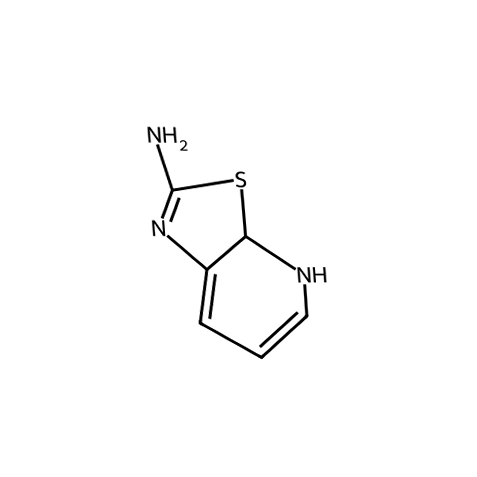 NC1=NC2=CC=CNC2S1